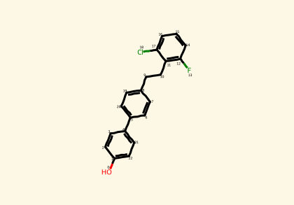 Oc1ccc(-c2ccc(CCc3c(F)cccc3Cl)cc2)cc1